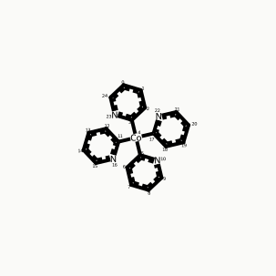 c1cc[c]([Co]([c]2ccccn2)([c]2ccccn2)[c]2ccccn2)nc1